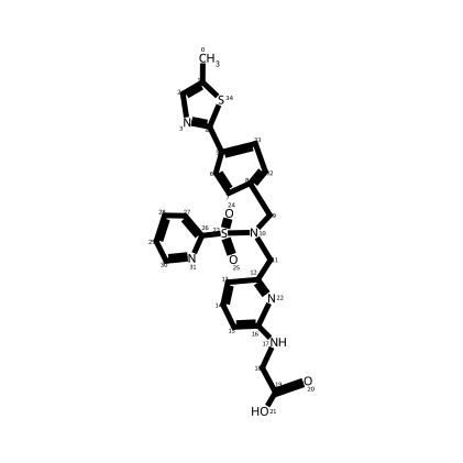 Cc1cnc(-c2ccc(CN(Cc3cccc(NCC(=O)O)n3)S(=O)(=O)c3ccccn3)cc2)s1